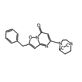 O=c1cc(N2CCN3CCC2CC3)nc2cc(Cc3ccccc3)on12